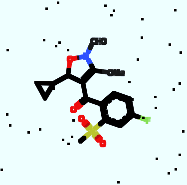 COC1=C(C(=O)c2ccc(F)cc2S(C)(=O)=O)C(C2CC2)ON1C=O